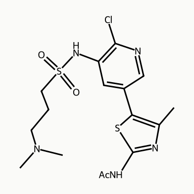 CC(=O)Nc1nc(C)c(-c2cnc(Cl)c(NS(=O)(=O)CCCN(C)C)c2)s1